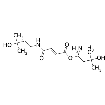 CC(C)(O)CCNC(=O)/C=C/C(=O)OC(N)CC(C)(C)O